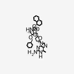 C=C1NC(N)=Nc2c1ncn2[C@H]1CC[C@@H](COP(=O)(N[C@@H](C)C(=O)OCc2ccccc2)Oc2cccc3ccccc23)O1